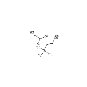 C[N+](C)(C)CCO.Cl.Cl.OP(O)O